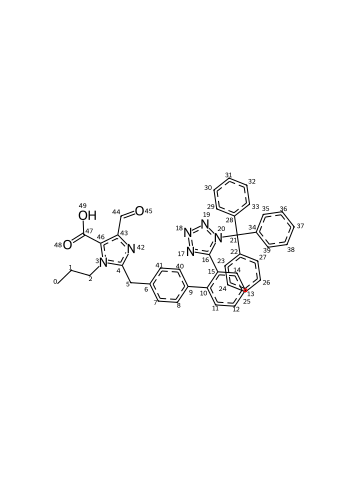 CCCn1c(Cc2ccc(-c3ccccc3-c3nnnn3C(c3ccccc3)(c3ccccc3)c3ccccc3)cc2)nc(C=O)c1C(=O)O